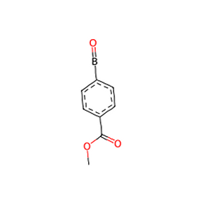 COC(=O)c1ccc(B=O)cc1